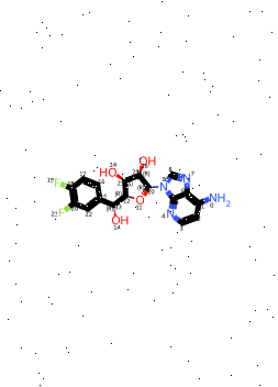 Nc1ccnc2c1ncn2[C@@H]1O[C@H]([C@H](O)c2ccc(F)c(F)c2)[C@@H](O)[C@H]1O